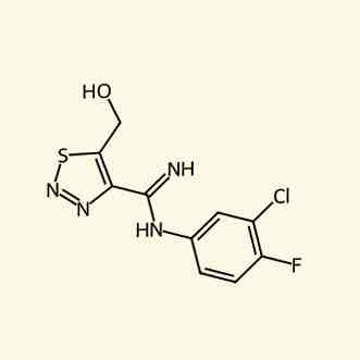 N=C(Nc1ccc(F)c(Cl)c1)c1nnsc1CO